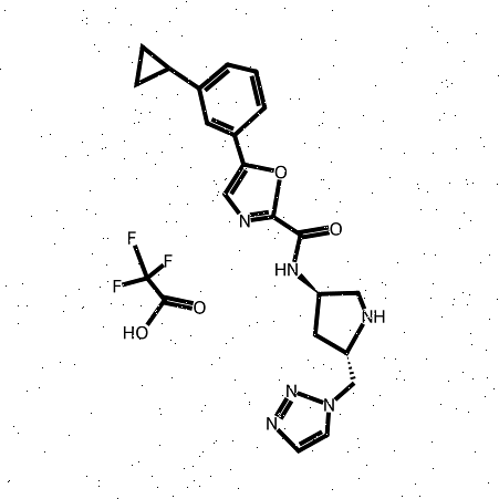 O=C(N[C@H]1CN[C@H](Cn2ccnn2)C1)c1ncc(-c2cccc(C3CC3)c2)o1.O=C(O)C(F)(F)F